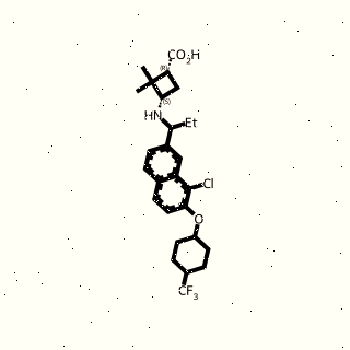 CCC(N[C@H]1C[C@@H](C(=O)O)C1(C)C)c1ccc2ccc(OC3CCC(C(F)(F)F)CC3)c(Cl)c2c1